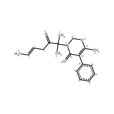 CC=CCC(=O)C(C)(C)N1COC(C)=C(c2ccccc2)C1=O